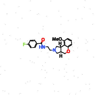 COc1cccc2c1[C@H]1CN(CCNC(=O)c3ccc(F)cc3)C[C@@H]1CO2